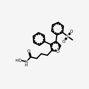 CS(=O)(=O)c1ccccc1-c1coc(CCCC(=O)NO)c1-c1ccccc1